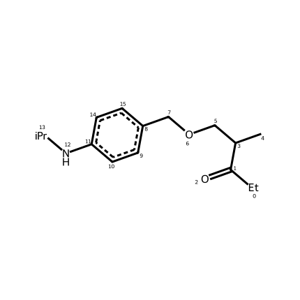 CCC(=O)C(C)COCc1ccc(NC(C)C)cc1